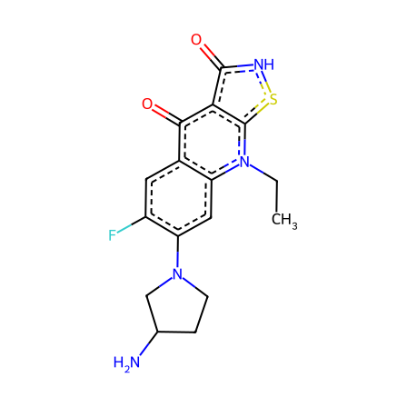 CCn1c2cc(N3CCC(N)C3)c(F)cc2c(=O)c2c(=O)[nH]sc21